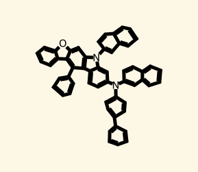 c1ccc(-c2ccc(N(c3ccc4ccccc4c3)c3ccc4c5c(-c6ccccc6)c6c(cc5n(-c5ccc7ccccc7c5)c4c3)oc3ccccc36)cc2)cc1